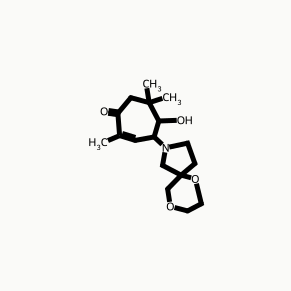 CC1=CC(N2CCC3(COCCO3)C2)C(O)C(C)(C)CC1=O